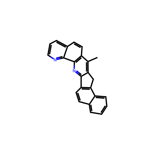 Cc1c2c(nc3c1ccc1cccnc13)-c1ccc3ccccc3c1C2